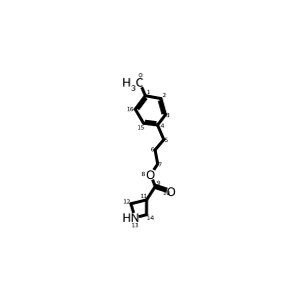 Cc1ccc(CCCOC(=O)C2CNC2)cc1